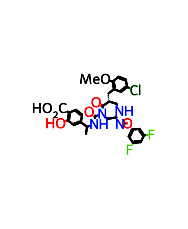 COc1ccc(Cl)cc1C[C@@H]1CN/C(=N\Oc2cc(F)cc(F)c2)CN(C(=O)NC(C)c2ccc(C(=O)O)c(O)c2)C1=O